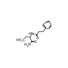 NC(=O)C(CC(=O)O)NC(=O)CCc1ccccc1